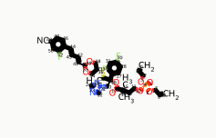 C=CCOP(=O)(OCC=C)OCCC(C)(C)C(=O)O[C@@](Cn1cncn1)(c1ccc(F)cc1F)[C@@H](C)S[C@H]1CO[C@H](/C=C/C=C/c2ccc(C#N)cc2F)OC1